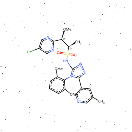 COc1cccc(OC)c1-n1c(NS(=O)(=O)[C@H](C)[C@H](OC)c2ncc(Cl)cn2)nnc1-c1cncc(C)c1